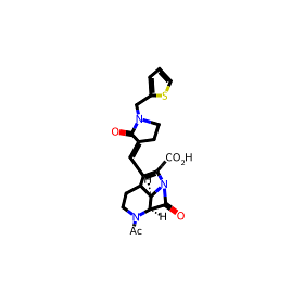 CC(=O)N1CCC2C(/C=C3\CCN(Cc4cccs4)C3=O)=C(C(=O)O)N3C(=O)[C@@H]1[C@@H]23